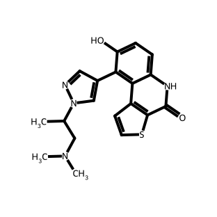 CC(CN(C)C)n1cc(-c2c(O)ccc3[nH]c(=O)c4sccc4c23)cn1